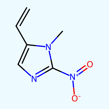 C=Cc1cnc([N+](=O)[O-])n1C